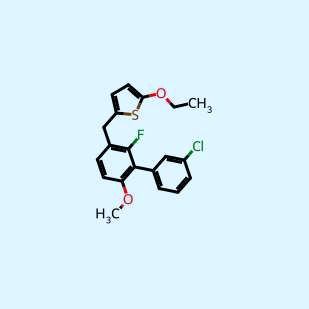 CCOc1ccc(Cc2ccc(OC)c(-c3cccc(Cl)c3)c2F)s1